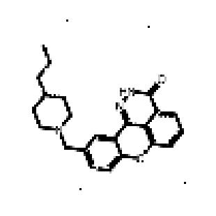 CCCC1CCN(Cc2ccc3c(c2)-c2n[nH]c(=O)c4cccc(c24)O3)CC1